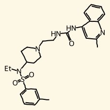 CCN(C1CCN(CCNC(=O)Nc2cc(C)nc3ccccc23)CC1)S(=O)(=O)c1cccc(C)c1